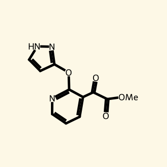 COC(=O)C(=O)c1cccnc1Oc1cc[nH]n1